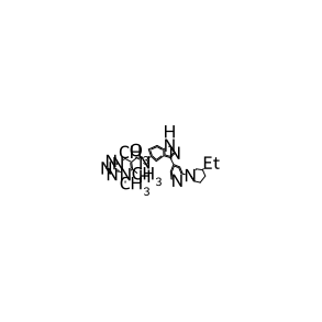 CC[C@H]1CCCN(c2cc(-c3n[nH]c4ccc(NC(=O)C5=C(C)N(C)c6nnnn6C5C)cc34)ccn2)C1